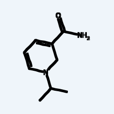 CC(C)N1C=CC=C(C(N)=O)C1